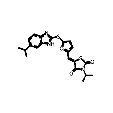 CC(C)c1ccc2nc(Sc3ccc(/C=C4\SC(=O)N(C(C)C)C4=O)o3)[nH]c2c1